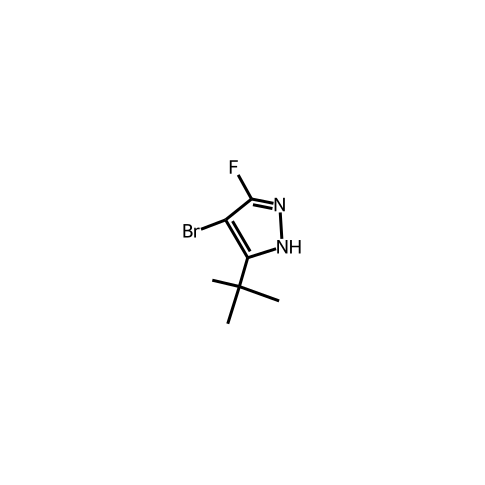 CC(C)(C)c1[nH]nc(F)c1Br